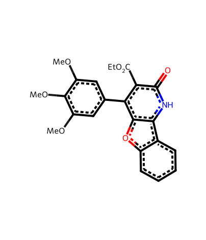 CCOC(=O)c1c(-c2cc(OC)c(OC)c(OC)c2)c2oc3ccccc3c2[nH]c1=O